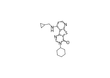 O=c1c2sc3nccc(NCC4CC4)c3c2ncn1C1CCCCC1